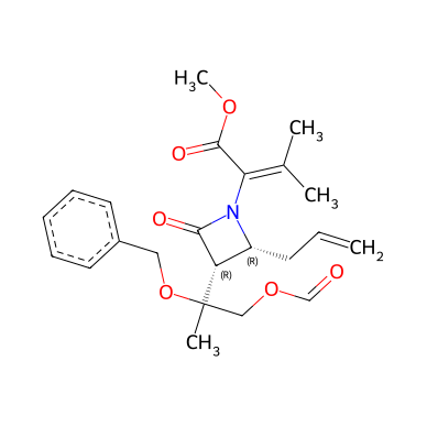 C=CC[C@@H]1[C@H](C(C)(COC=O)OCc2ccccc2)C(=O)N1C(C(=O)OC)=C(C)C